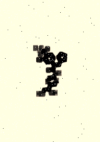 CS(=O)(=O)c1ccc(/C(=C\C2CCCC2)C(=O)Nc2cnc(C(O)CO)cn2)cc1Cl